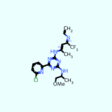 C=C/N=C(\C=C(/C)Nc1nc(NC(C)COC)nc(-c2cccc(Cl)n2)n1)C(F)(F)F